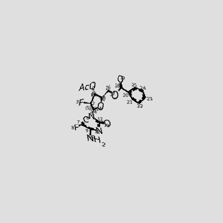 CC(=O)O[C@H]1[C@H](F)[C@H](n2cc(F)c(N)nc2=O)O[C@@H]1COC(=O)c1ccccc1